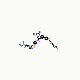 CCCCOCCOc1ccc(-c2ccc3c(c2)C=C(C(=O)Nc2ccc([S+]([O-])Cc4nccn4CCCC(=O)NC)cc2)CCN3CC(C)C)cc1